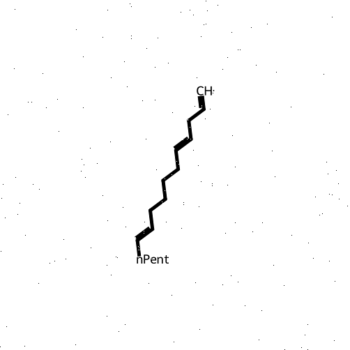 [CH]=CC/C=C/CCCC/C=C/CCCCC